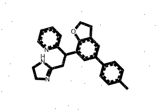 Cc1ccc(-c2cc3c(c(C(CC4=NCCN4)c4ccccn4)c2)OCC3)cc1